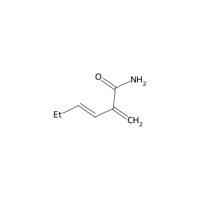 C=C(C=CCC)C(N)=O